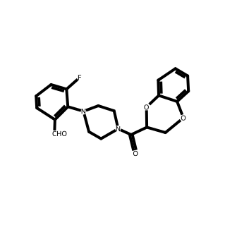 O=Cc1cccc(F)c1N1CCN(C(=O)C2COc3ccccc3O2)CC1